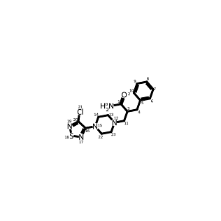 NC(=O)C(Cc1ccccc1)CN1CCN(c2nsnc2Cl)CC1